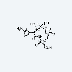 CC(C)(ON=C(C(=O)N[C@@H]1C(=O)N(S(=O)(=O)O)[C@@H]1CN1C[C@H](CO)OC1=O)c1csc(N)n1)C(=O)O